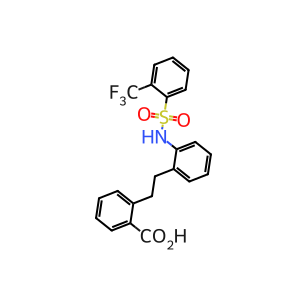 O=C(O)c1ccccc1CCc1ccccc1NS(=O)(=O)c1ccccc1C(F)(F)F